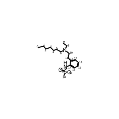 CCCCCCCN(CC)CCc1ccccc1NS(C)(=O)=O